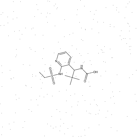 CCS(=O)(=O)Nc1ncccc1C(NC(=O)O)C(C)(C)C